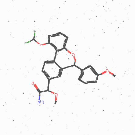 COc1cccc(C2Oc3cccc(OC(F)F)c3-c3ccc(C(OC)C(N)=O)cc32)c1